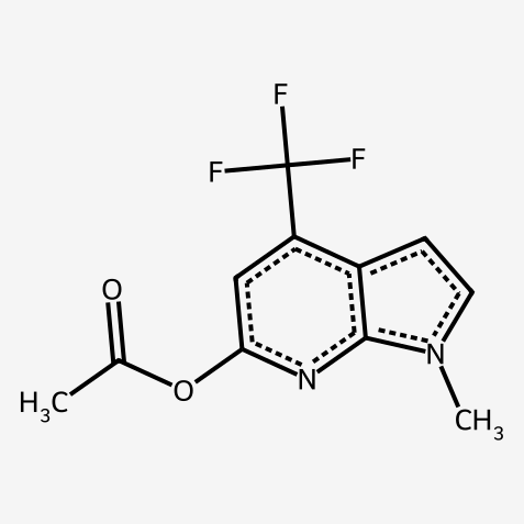 CC(=O)Oc1cc(C(F)(F)F)c2ccn(C)c2n1